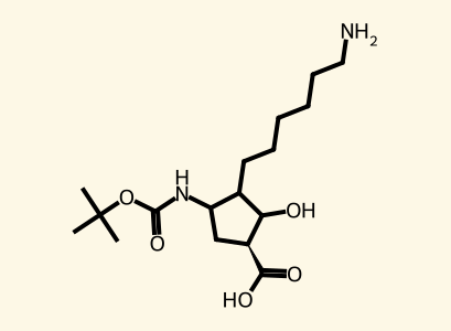 CC(C)(C)OC(=O)NC1C[C@H](C(=O)O)C(O)C1CCCCCCN